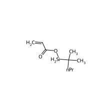 C=CC(=O)O[SiH2]C(C)(C)CCC